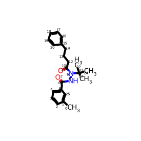 Cc1cccc(C(=O)NN(C(=O)CCCc2ccccc2)C(C)(C)C)c1